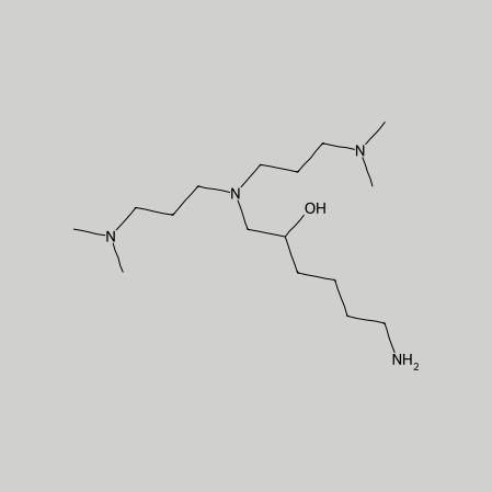 CN(C)CCCN(CCCN(C)C)CC(O)CCCCN